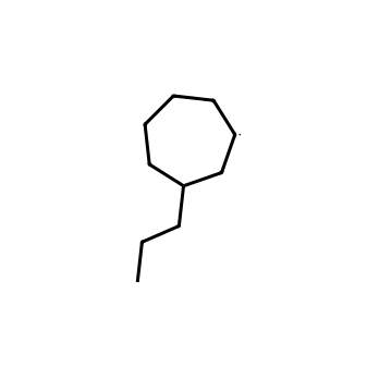 CCCC1C[CH]CCCC1